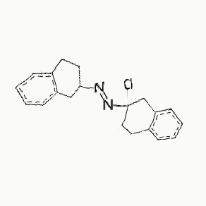 ClC1(N=NC2CCc3ccccc3C2)CCc2ccccc2C1